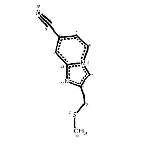 CSCc1cn2ccc(C#N)cc2n1